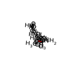 C=C(Cl)/C=C\C=C(/F)[C@H]1[C@H](C(=O)N[C@@H]2CC[C@@H](c3n[nH]c(=O)o3)OC2)NC2(CCC(C)(C)CC2)[C@@]12C(=O)Nc1nc(Cl)ccc12